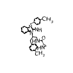 Cc1ccc(CC(CNC(=O)C2CN2)n2c(=N)n(Cc3ccc(C)cc3)c3ccccc32)cc1